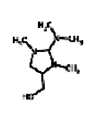 CN(C)C1N(C)CC(CO)N1C